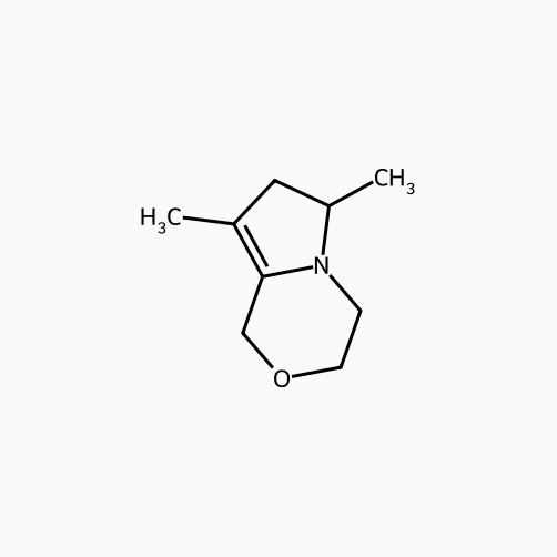 CC1=C2COCCN2C(C)C1